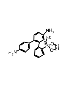 CCO[Si](OCC)(OCC)c1ccccc1-c1cc(N)ccc1-c1ccc(N)cc1